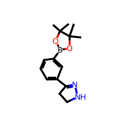 CC1(C)OB(c2cccc(C3=NNCC3)c2)OC1(C)C